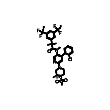 C[C@H]1CN(c2cc(-c3ccccc3Cl)c(N(C)C(=O)C(C)(C)c3cc(C(F)(F)F)cc(C(F)(F)F)c3)cn2)CCN1S(C)(=O)=O